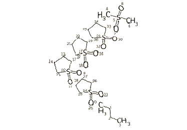 CCCC.CS(C)(=O)=O.O=S1(=O)CCCC1.O=S1(=O)CCCC1.O=S1(=O)CCCC1.O=S1(=O)CCCC1